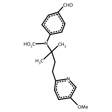 COc1ccc(CCC(C)(C)N(C(=O)O)c2ccc(C=O)cc2)nc1